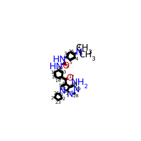 CN(C)c1ccc(NC(=O)Nc2cccc(C(=O)c3cn(C4CCCC4)c4ncnc(N)c34)c2)cc1